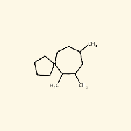 CC1CC[N+]2(CCCC2)C(C)C(C)C1